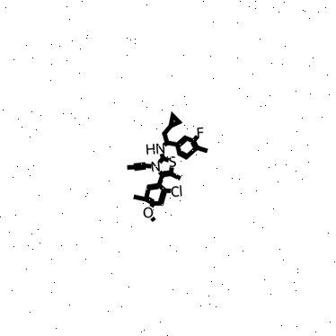 CC#CN1C(c2cc(C)c(OC)cc2Cl)=C(C)SC1NC(CC1CC1)c1ccc(C)c(F)c1